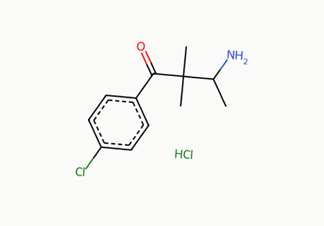 CC(N)C(C)(C)C(=O)c1ccc(Cl)cc1.Cl